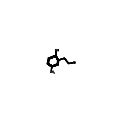 Cc1c[c]c(O)c(CCBr)c1